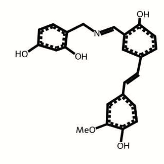 COc1cc(C=Cc2ccc(O)c(C=NCc3ccc(O)cc3O)c2)ccc1O